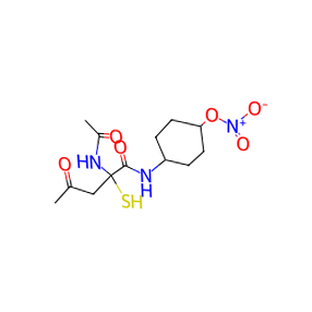 CC(=O)CC(S)(NC(C)=O)C(=O)NC1CCC(O[N+](=O)[O-])CC1